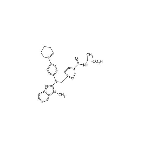 C[C@@H](NC(=O)c1ccc(CN(c2ccc(C3=CCCCC3)cc2)c2nc3ccccc3n2C)cc1)C(=O)O